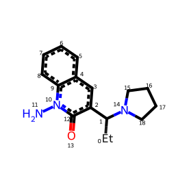 CCC(c1cc2ccccc2n(N)c1=O)N1CCCC1